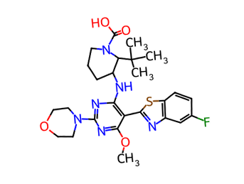 COc1nc(N2CCOCC2)nc(NC2CCCN(C(=O)O)C2C(C)(C)C)c1-c1nc2cc(F)ccc2s1